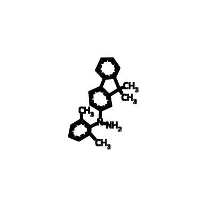 Cc1cccc(C)c1N(N)c1ccc2c(c1)C(C)(C)c1ccccc1-2